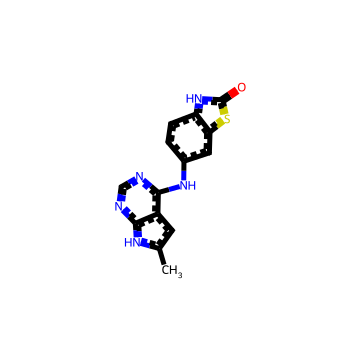 Cc1cc2c(Nc3ccc4[nH]c(=O)sc4c3)ncnc2[nH]1